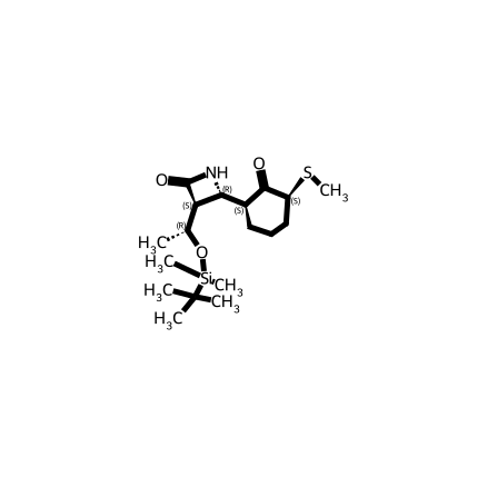 CS[C@H]1CCC[C@@H]([C@H]2NC(=O)[C@@H]2[C@@H](C)O[Si](C)(C)C(C)(C)C)C1=O